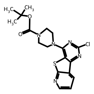 CC(C)(C)OC(=O)N1CCN(c2nc(Cl)nc3c2sc2ncccc23)CC1